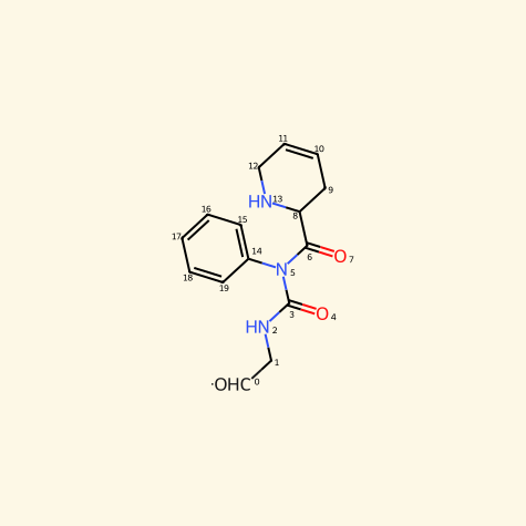 O=[C]CNC(=O)N(C(=O)C1CC=CCN1)c1ccccc1